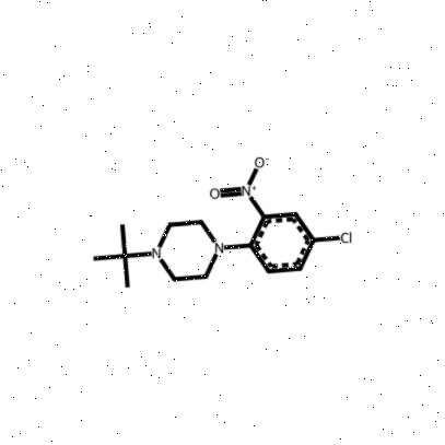 CC(C)(C)N1CCN(c2ccc(Cl)cc2[N+](=O)[O-])CC1